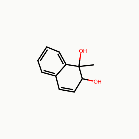 CC1(O)c2ccccc2C=CC1O